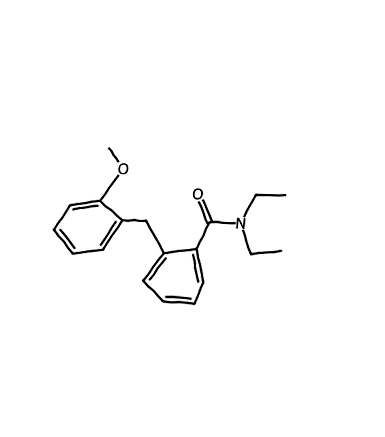 CCN(CC)C(=O)c1ccccc1Cc1ccccc1OC